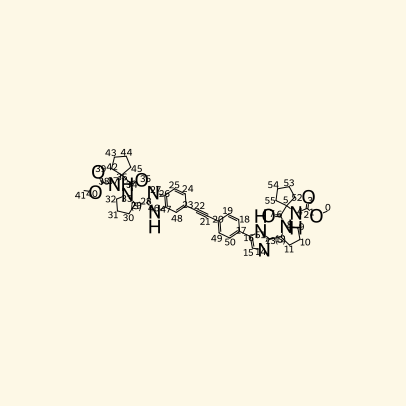 COC(=O)NC1(C(=O)N2CCC[C@H]2c2ncc(-c3ccc(C#Cc4ccc5nc([C@@H]6CCCN6C(=O)C6(NC(=O)OC)CCCC6)[nH]c5c4)cc3)[nH]2)CCCC1